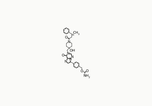 C[C@H](CC(=O)N1CCC(O)(Cn2cnn3c(-c4ccc(COC(N)=O)cc4)cnc3c2=O)CC1)c1ccccc1